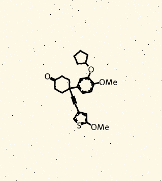 COc1cc(C#CC2(c3ccc(OC)c(OC4CCCC4)c3)CCC(=O)CC2)cs1